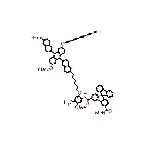 C#CC#CC#CC#CC#COc1ccc2c(-c3ccc4cc(CCCCCCOc5cc(C)c(OC)cc5NC(=O)c5ccc6c(c5)-c5cc(C(=O)NC)ccc5C65c6ccccc6-c6ccccc65)ccc4c3)c3cc(OCCCCCCCCCC)ccc3c(-c3ccc4cc(CCCCCC)ccc4c3)c2c1